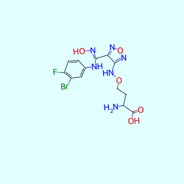 NC(CCONc1nonc1/C(=N/O)Nc1ccc(F)c(Br)c1)C(=O)O